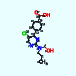 CCCN(CO)c1ncc(Cl)c(-c2ccc(C(=O)O)cc2)n1